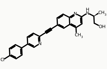 Cc1cc(N[C@@H](C)CO)nc2ccc(C#Cc3ccc(-c4ccc(Cl)cc4)cn3)cc12